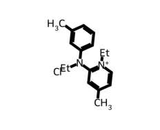 CCN(c1cccc(C)c1)c1cc(C)cc[n+]1CC.[Cl-]